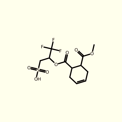 COC(=O)C1CC=CCC1C(=O)OC(CS(=O)(=O)O)C(F)(F)F